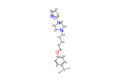 CC(C)c1ccc(OCCCCCN2CCN(c3nccs3)CC2)cc1